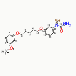 COc1cccc(OCCCCCOc2cccc(N(S)C(N)=O)c2)c1